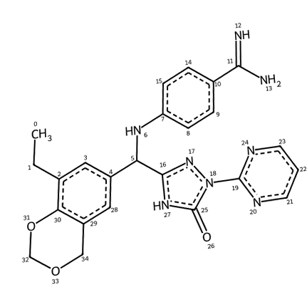 CCc1cc(C(Nc2ccc(C(=N)N)cc2)c2nn(-c3ncccn3)c(=O)[nH]2)cc2c1OCOC2